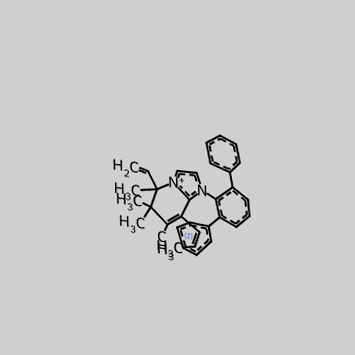 C=CC1(C)[n+]2ccn(-c3c(-c4ccccc4)cccc3-c3ccccc3)c2C(/C=C\C)=C(C)C1(C)C